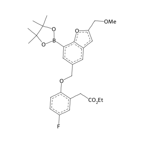 CCOC(=O)Cc1cc(F)ccc1OCc1cc(B2OC(C)(C)C(C)(C)O2)c2oc(COC)cc2c1